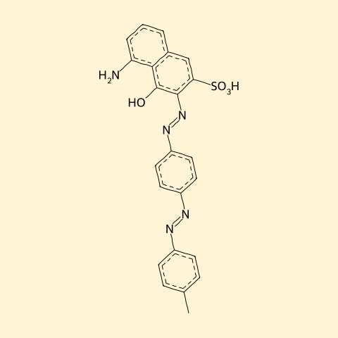 Cc1ccc(N=Nc2ccc(N=Nc3c(S(=O)(=O)O)cc4cccc(N)c4c3O)cc2)cc1